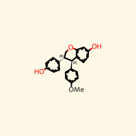 COc1ccc([C@@H]2c3ccc(O)cc3OC[C@H]2c2ccc(O)cc2)cc1